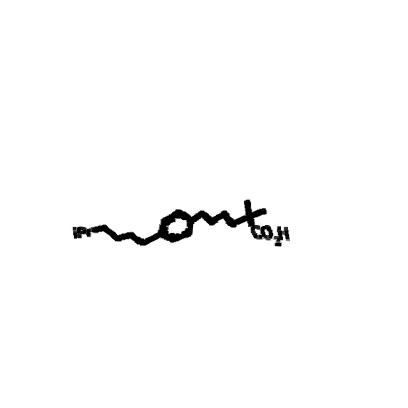 CC(C)CCCCc1ccc(CCCCC(C)(C)C(=O)O)cc1